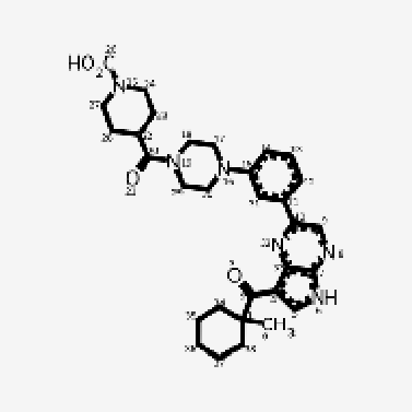 CC1(C(=O)c2c[nH]c3ncc(-c4cccc(N5CCN(C(=O)C6CCN(C(=O)O)CC6)CC5)c4)nc23)CCCCC1